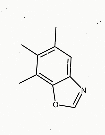 Cc1cc2ncoc2c(C)c1C